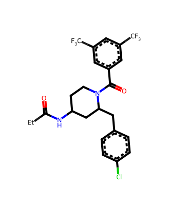 CCC(=O)NC1CCN(C(=O)c2cc(C(F)(F)F)cc(C(F)(F)F)c2)C(Cc2ccc(Cl)cc2)C1